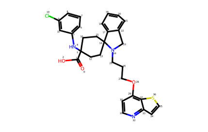 O=C(O)C1(Nc2cccc(Cl)c2)CCC2(CC1)c1ccccc1CN2CCCOc1ccnc2ccsc12